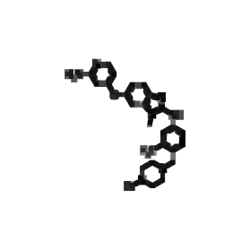 CCN1CCN(Cc2ccc(Nc3nc4ccc(Oc5ccnc(N)c5)cc4n3C)cc2C(F)(F)F)CC1